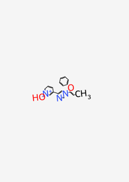 C/C=C(\Oc1ccccc1)n1cnc(-c2ccc[n+](O)c2)c1